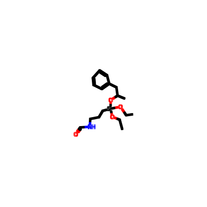 CCO[Si](CCCNC=O)(OCC)OC(C)Cc1ccccc1